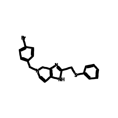 Brc1ccc(CN2C=Cc3[nH]c(CSc4ccccc4)nc3C2)cc1